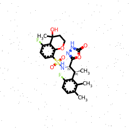 Cc1ccc(F)c([C@@H](C)[C@H](NS(=O)(=O)c2ccc(F)c3c2OCCC3(C)O)c2n[nH]c(=O)o2)c1C